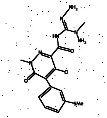 CSc1cccc(-c2c(Cl)c(C(=O)N/C(=N/N)N(C)N)nn(C)c2=O)c1